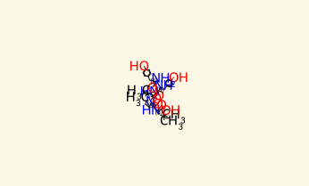 CC(C)C[C@H](NC(=O)[C@@H]1CCCN1C(=O)[C@@H](NC(=O)[C@H](Cc1ccc(O)cc1)NC(=O)[C@@H](N)Cc1ccc(O)cc1)C(C)C)C(=O)O